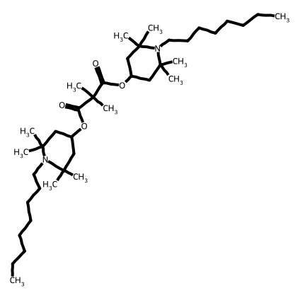 CCCCCCCCN1C(C)(C)CC(OC(=O)C(C)(C)C(=O)OC2CC(C)(C)N(CCCCCCCC)C(C)(C)C2)CC1(C)C